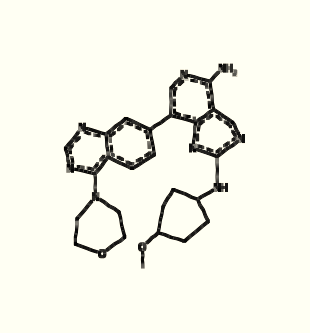 COC1CCC(Nc2ncc3c(N)ncc(-c4ccc5c(N6CCOCC6)ncnc5c4)c3n2)CC1